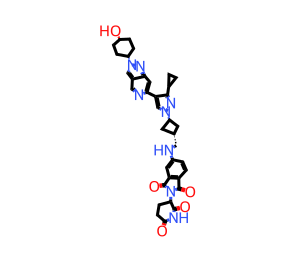 O=C1CCC(N2C(=O)c3ccc(NC[C@H]4C[C@H](n5cc(-c6cc7nn([C@H]8CC[C@H](O)CC8)cc7cn6)c(C6CC6)n5)C4)cc3C2=O)C(=O)N1